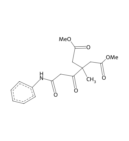 COC(=O)CC(C)(CC(=O)OC)C(=O)CC(=O)Nc1ccccc1